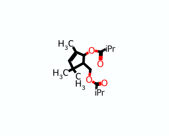 CC1=CC(C)(C)C(COC(=O)C(C)C)C1OC(=O)C(C)C